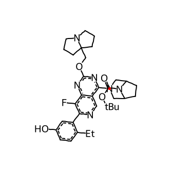 CCc1ccc(O)cc1-c1ncc2c(N3CC4CCC(C3)N4C(=O)OC(C)(C)C)nc(OCC34CCCN3CCC4)nc2c1F